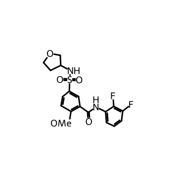 COc1ccc(S(=O)(=O)NC2CCOC2)cc1C(=O)Nc1cccc(F)c1F